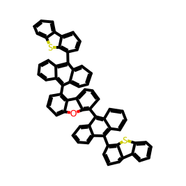 c1cc(-c2c3ccccc3c(-c3cccc4c3sc3ccccc34)c3ccccc23)c2c(c1)oc1c(-c3c4ccccc4c(-c4cccc5c4sc4ccccc45)c4ccccc34)cccc12